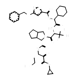 CCC[C@H](NC(=O)[C@@H]1C2CCCC2CN1C(=O)[C@@H](NC(=O)[C@@H](NC(=O)c1cc(OCc2ccccc2)no1)C1CCCCC1)C(C)(C)C)C(=O)C(=O)NC1CC1